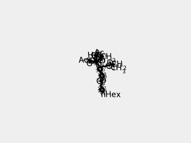 C=C(C)C(=O)OCCCc1cc(-c2ccc(OC(=O)CCc3ccc(CCCCCC)cc3)cc2)ccc1OCC(COC(=O)CC(C)=O)(COC(=O)CC(C)=O)COC(=O)C(=C)C